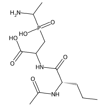 CCC[C@H](NC(C)=O)C(=O)NC(CP(=O)(O)C(C)N)C(=O)O